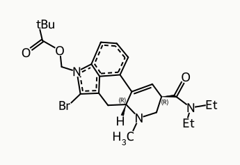 CCN(CC)C(=O)[C@@H]1C=C2c3cccc4c3c(c(Br)n4COC(=O)C(C)(C)C)C[C@H]2N(C)C1